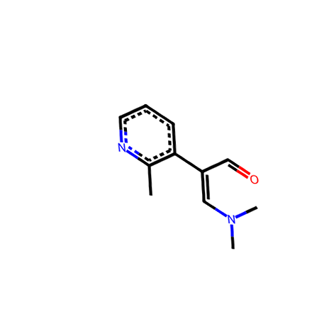 Cc1ncccc1C(C=O)=CN(C)C